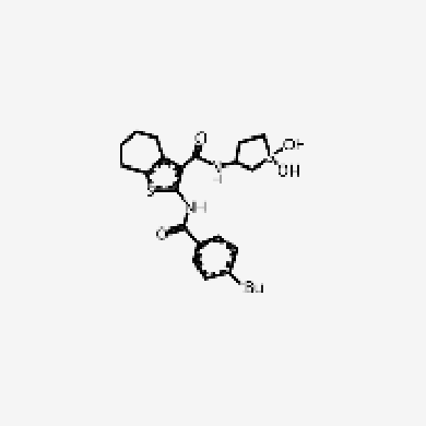 CC(C)(C)c1ccc(C(=O)Nc2sc3c(c2C(=O)NC2CCS(O)(O)C2)CCCC3)cc1